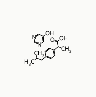 CC(C)Cc1ccc(C(C)C(=O)O)cc1.Oc1cncnc1